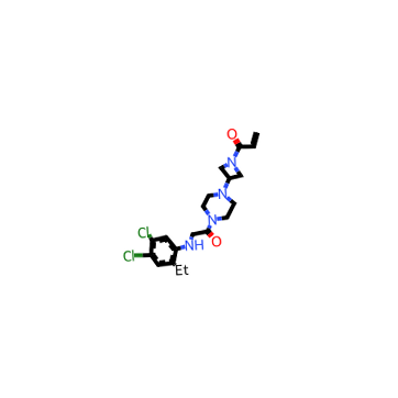 C=CC(=O)N1CC(N2CCN(C(=O)CNc3cc(Cl)c(Cl)cc3CC)CC2)C1